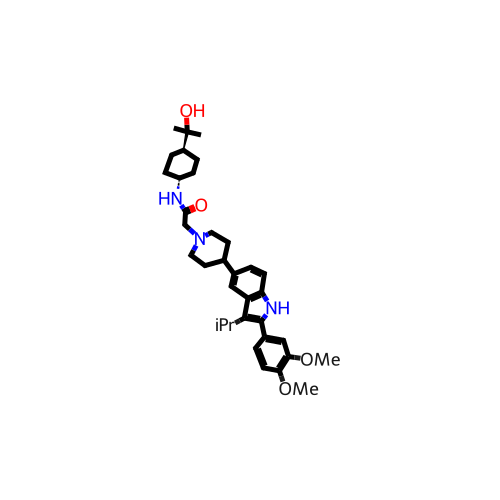 COc1ccc(-c2[nH]c3ccc(C4CCN(CC(=O)N[C@H]5CC[C@H](C(C)(C)O)CC5)CC4)cc3c2C(C)C)cc1OC